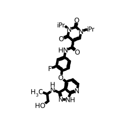 CC(CO)Nc1n[nH]c2nccc(Oc3ccc(NC(=O)c4cn(C(C)C)c(=O)n(C(C)C)c4=O)cc3F)c12